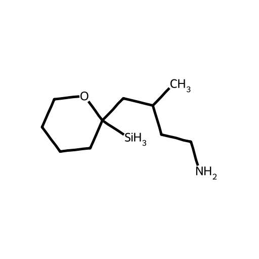 CC(CCN)CC1([SiH3])CCCCO1